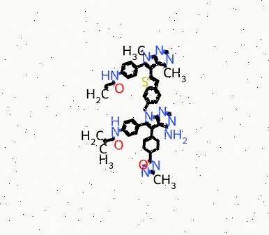 C=CC(=O)Nc1ccc(-c2c(-c3cc4ccc(Cn5c(-c6ccc(NC(=O)C(=C)C)cc6)c(C6=CCC(c7nc(C)no7)CC6)c6c(N)ncnc65)cc4s3)c3c(C)ncnc3n2C)cc1